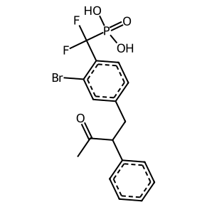 CC(=O)C(Cc1ccc(C(F)(F)P(=O)(O)O)c(Br)c1)c1ccccc1